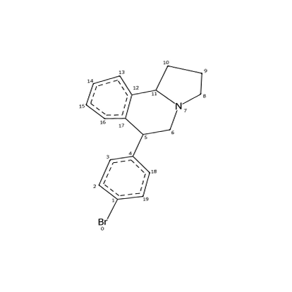 Brc1ccc(C2CN3CCCC3c3ccccc32)cc1